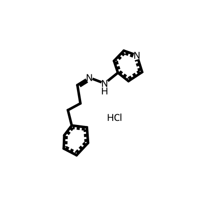 C(/CCc1ccccc1)=N/Nc1ccncc1.Cl